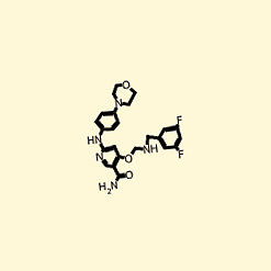 NC(=O)c1cnc(Nc2ccc(N3CCOCC3)cc2)cc1OCNCc1cc(F)cc(F)c1